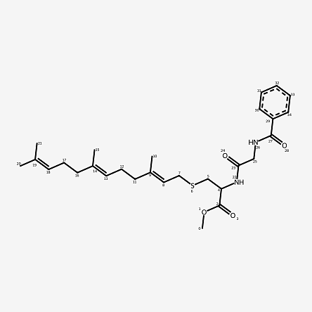 COC(=O)C(CSC/C=C(\C)CC/C=C(\C)CCC=C(C)C)NC(=O)CNC(=O)c1ccccc1